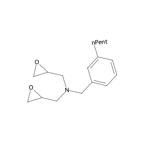 CCCCCc1cccc(CN(CC2CO2)CC2CO2)c1